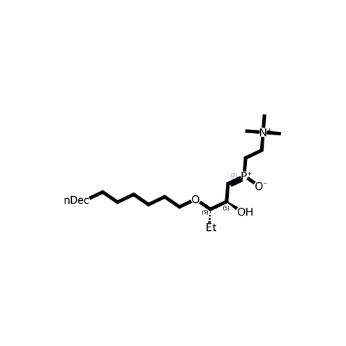 CCCCCCCCCCCCCCCCO[C@@H](CC)[C@H](O)/C=[P+](\[O-])CC[N+](C)(C)C